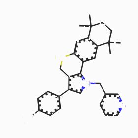 CC1(C)CCC(C)(C)c2cc3c(cc21)[SH]Cc1c(-c2ccc(C(=O)O)cc2)cn(Cc2cccnc2)c1-3